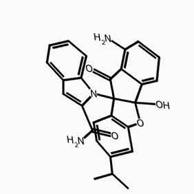 CC(C)c1ccc2c(c1)OC1(O)c3cccc(N)c3C(=O)C21n1c(C(N)=O)cc2ccccc21